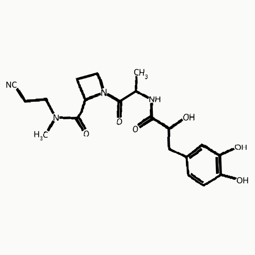 CC(NC(=O)C(O)Cc1ccc(O)c(O)c1)C(=O)N1CCC1C(=O)N(C)CCC#N